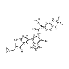 O=C(NCC1CC1)c1cc(-c2nn(CC(=O)N(c3ccc4c(c3)OC(F)(F)O4)C3CC3)c(=O)c3nc[nH]c23)ccc1Cl